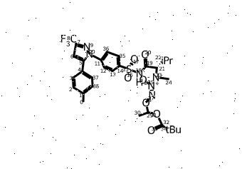 Cc1ccc(-c2cc(C(F)(F)F)nn2-c2ccc(S(=O)(=O)NC(=O)[C@H](C(C)C)N(C)/[N+]([O-])=N/OC(C)OC(=O)C(C)(C)C)cc2)cc1